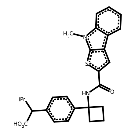 CC(C)C(C(=O)O)c1ccc(C2(NC(=O)c3cc4c5ccccc5n(C)c4s3)CCC2)cc1